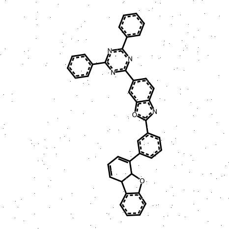 C1=CC2c3ccccc3OC2C(c2cccc(-c3nc4ccc(-c5nc(-c6ccccc6)nc(-c6ccccc6)n5)cc4o3)c2)=C1